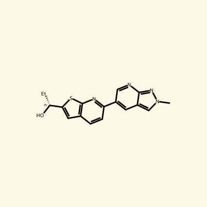 CC[C@@H](O)c1cc2ccc(-c3cnc4nn(C)cc4c3)nc2s1